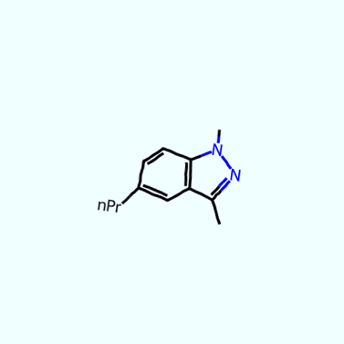 CCCc1ccc2c(c1)c(C)nn2C